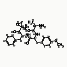 COc1ccc(CC(NC(=O)C(C)N)C(=O)NC(Cc2ccccc2)C(=O)C2(C)CO2)cc1